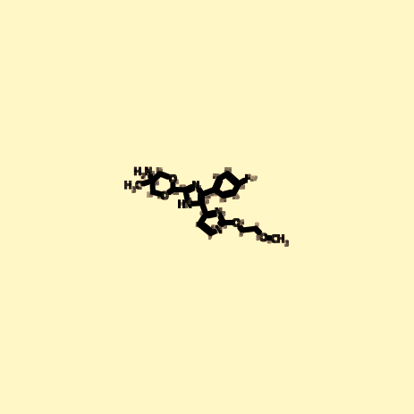 COCCOc1nccc(-c2[nH]c(C3OCC(C)(N)CO3)nc2-c2ccc(F)cc2)n1